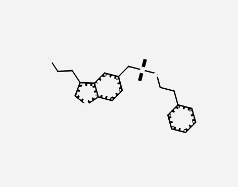 NCCc1c[nH]c2ccc(CS(=O)(=O)NCCc3ccccc3)cc12